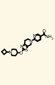 NC(=O)c1ccc(N2CCc3nc(OC4CCN(C5CCC5)CC4)sc3C2)nc1